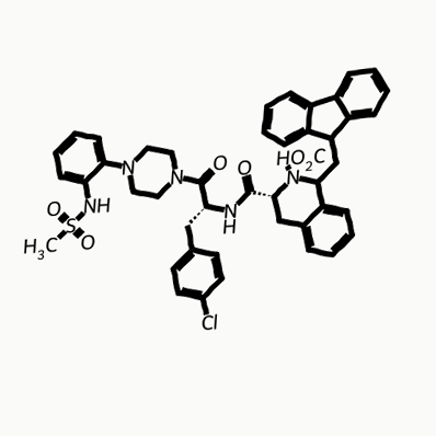 CS(=O)(=O)Nc1ccccc1N1CCN(C(=O)[C@@H](Cc2ccc(Cl)cc2)NC(=O)[C@H]2Cc3ccccc3C(CC3c4ccccc4-c4ccccc43)N2C(=O)O)CC1